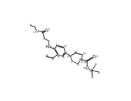 CCOC(=O)CCNc1ccc(N2CCN(C(=O)OC(C)(C)C)CC2)cc1CC